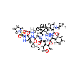 C=C[C@@H]1C[C@]1(NC(=O)[C@@H]1C[C@@]2(CN1C(=O)[C@@H](NC(=O)C(NC(=O)[C@@H]1CCCN1CC(F)(F)F)C1CCCCC1)C1CCOCC1)C(C)(C)C21CCC1)C(=O)NS(=O)(=O)N1CCCC1